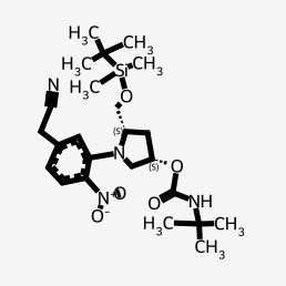 CC(C)(C)NC(=O)O[C@H]1C[C@@H](CO[Si](C)(C)C(C)(C)C)N(c2cc(CC#N)ccc2[N+](=O)[O-])C1